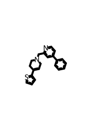 C1=C(c2cccs2)CCN(Cc2cc(-c3ccccc3)ccn2)C1